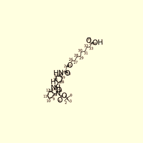 CC(C)(C)OC(=O)Nc1ccccc1NC(=O)c1ccc(NC(=O)COCCCCCCCCC(=O)O)cc1